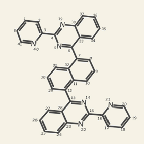 c1ccc(-c2nc(-c3cccc4c(-c5nc(-c6ccccn6)nc6ccccc56)cccc34)c3ccccc3n2)nc1